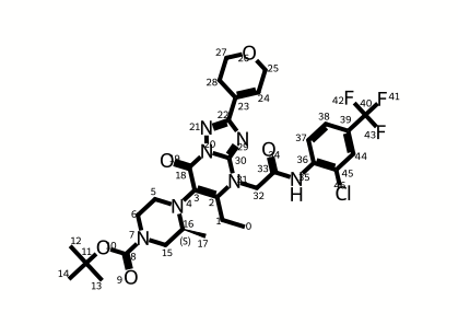 CCc1c(N2CCN(C(=O)OC(C)(C)C)C[C@@H]2C)c(=O)n2nc(C3=CCOCC3)nc2n1CC(=O)Nc1ccc(C(F)(F)F)cc1Cl